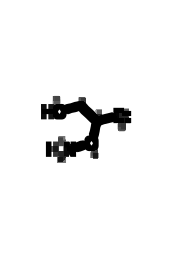 CCC(CO)ON